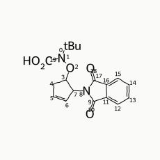 CC(C)(C)N(OC1CC=CC1N1C(=O)c2ccccc2C1=O)C(=O)O